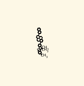 Cc1ccc2sc3c(c2c1)C(C)(C)c1cc(-c2ccc4c5c2C=CC2=CC=C(c6ccc7ccccc7c6)C(=CC4)C25)ccc1-3